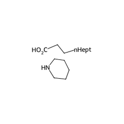 C1CCNCC1.CCCCCCCCCC(=O)O